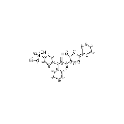 CCOP(=O)(O)c1ccc(C(NC(=O)c2cnc(-c3ccccn3)nc2O)c2ccccc2)cc1